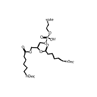 CCCCCCCCCCCCCCCC(=O)OCC(COP(=O)(O)OCCNC)OC(=O)CCCCCCCCCCCCCCC